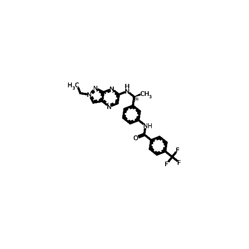 CCn1cc2ncc(N[C@@H](C)c3cccc(NC(=O)c4ccc(C(F)(F)F)cc4)c3)nc2n1